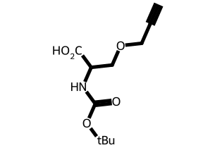 C#CCOCC(NC(=O)OC(C)(C)C)C(=O)O